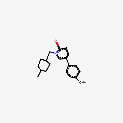 COc1ccc(-c2ccc(=O)n(CC3CCC(C)CC3)c2)cc1